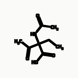 CCC(NC(C)=O)(C(C)=O)C(=O)O